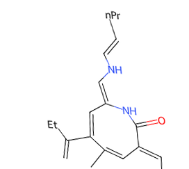 C=C(CC)C1=C/C(=C/N/C=C/CCC)NC(=O)C(=C/C)/C=C\1C